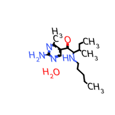 CCCCCNC(C(=O)c1cnc(N)nc1C)C(C)CC.O